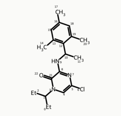 CCC(CC)n1cc(Cl)nc(NC(C)c2c(C)cc(C)cc2C)c1=O